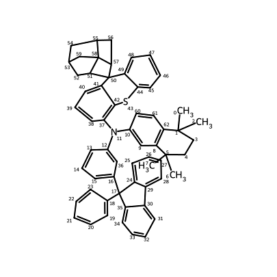 CC1(C)CCC(C)(C)c2cc(N(c3cccc(C4(c5ccccc5)c5ccccc5-c5ccccc54)c3)c3cccc4c3Sc3ccccc3C43C4CC5CC6CC3C64C5)ccc21